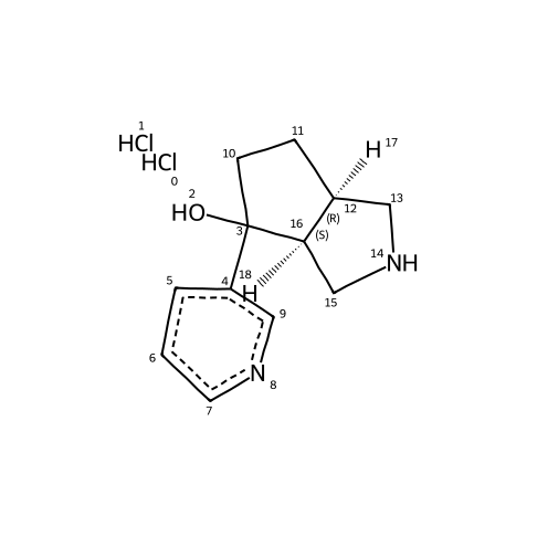 Cl.Cl.OC1(c2cccnc2)CC[C@H]2CNC[C@H]21